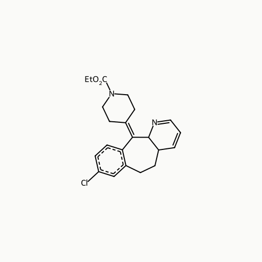 CCOC(=O)N1CCC(=C2c3ccc(Cl)cc3CCC3C=CC=NC23)CC1